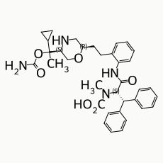 CN(C(=O)O)[C@H](C(=O)Nc1ccccc1CC[C@@H]1CN[C@H](C(C)(OC(N)=O)C2CC2)CO1)C(c1ccccc1)c1ccccc1